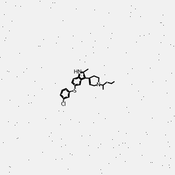 CCCC(C)N1CC=C(c2c(C)[nH]c3ccc(Sc4cccc(Cl)c4)cc23)CC1